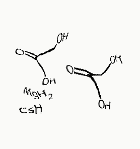 O=C(O)O.O=C(O)O.[CsH].[MgH2]